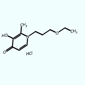 CCOCCCn1ccc(=O)c(O)c1C.Cl